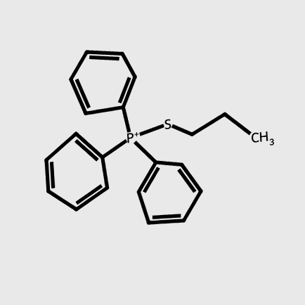 CCCS[P+](c1ccccc1)(c1ccccc1)c1ccccc1